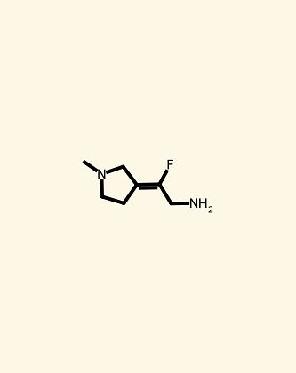 CN1CC/C(=C(/F)CN)C1